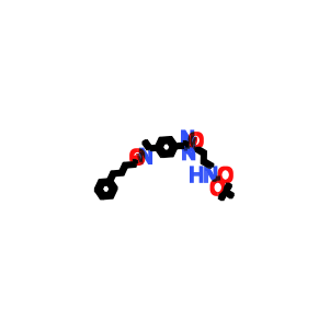 C/C(=N\OCCCCc1ccccc1)c1ccc(-c2noc(CCCNC(=O)OC(C)(C)C)n2)cc1